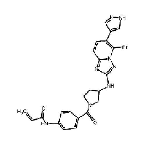 C=CC(=O)Nc1ccc(C(=O)N2CCC(Nc3nc4ccc(-c5cn[nH]c5)c(C(C)C)n4n3)C2)cc1